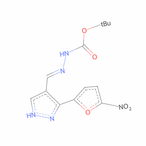 CC(C)(C)OC(=O)N/N=C/c1c[nH]nc1-c1ccc([N+](=O)[O-])o1